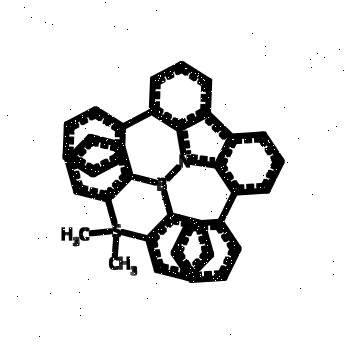 CS1(C)c2ccccc2B(n2c3c(-c4ccccc4)cccc3c3cccc(-c4ccccc4)c32)c2ccccc21